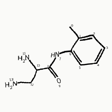 Cc1ccccc1NC(=O)C(N)CN